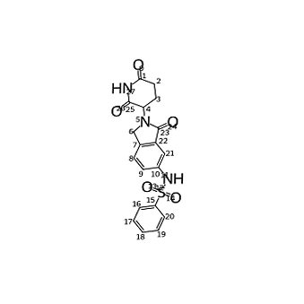 O=C1CCC(N2Cc3ccc(NS(=O)(=O)c4ccccc4)cc3C2=O)C(=O)N1